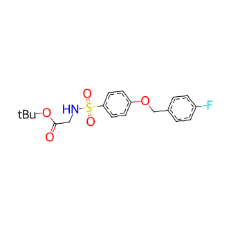 CC(C)(C)OC(=O)CNS(=O)(=O)c1ccc(OCc2ccc(F)cc2)cc1